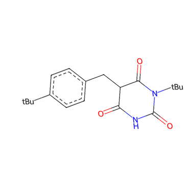 CC(C)(C)c1ccc(CC2C(=O)NC(=O)N(C(C)(C)C)C2=O)cc1